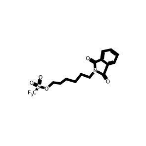 O=C1c2ccccc2C(=O)N1CCCCCCOS(=O)(=O)C(F)(F)F